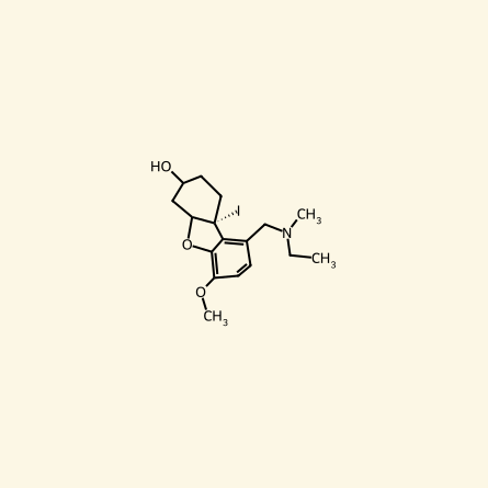 CCN(C)Cc1ccc(OC)c2c1[C@]1(I)CCC(O)CC1O2